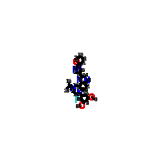 COc1cc(OC)c(F)c(N2CCN(C(C)C)Cc3c2ccc2ncc(-c4cnn(C5CCCCO5)c4)nc32)c1